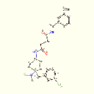 COc1cccc(C(C)NC(=O)CCC(=O)NC2CCC(Cc3cccc(Cl)c3)(N(C)C)CC2)c1